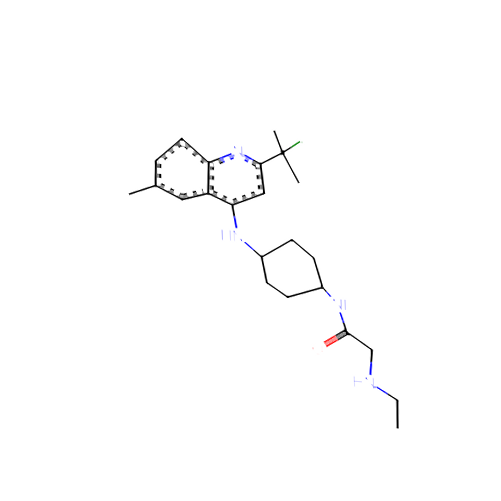 CCNCC(=O)NC1CCC(Nc2cc(C(C)(C)F)nc3ccc(C)cc23)CC1